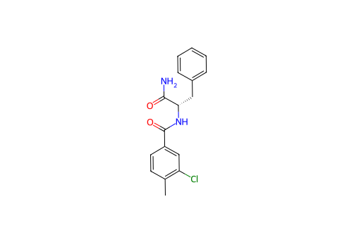 Cc1ccc(C(=O)N[C@@H](Cc2ccccc2)C(N)=O)cc1Cl